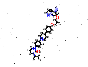 C=C/C(=N\C)C(C)(Cn1cccn1)OCC(C)COc1ccc(C2CCN(c3ccc(N4C=CCN(C(C)CC)C4=O)cc3)CC2)cc1